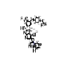 Cn1c(Nc2ccc(CN3CCN(CC(F)F)CC3)c(C(F)(F)F)c2)nc2ncc(O/C(C=N)=C3\C=NC=CN3)c(Cl)c21